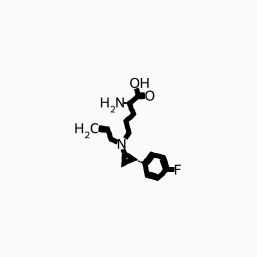 C=CCN(CCC[C@H](N)C(=O)O)C1C[C@H]1c1ccc(F)cc1